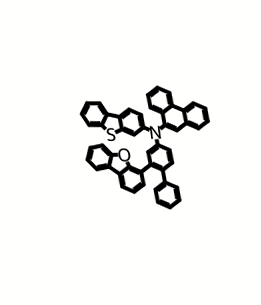 c1ccc(-c2ccc(N(c3ccc4c(c3)sc3ccccc34)c3cc4ccccc4c4ccccc34)cc2-c2cccc3c2oc2ccccc23)cc1